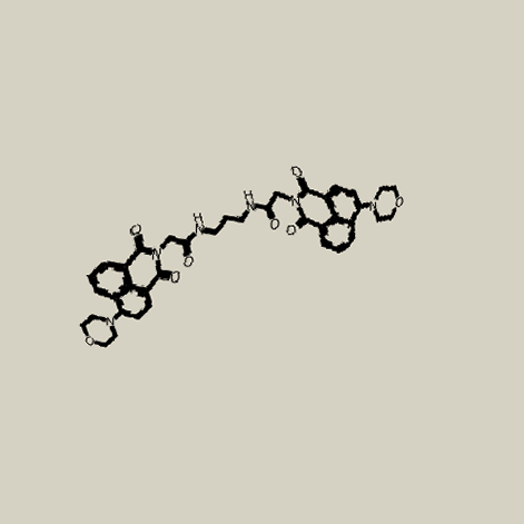 O=C(CN1C(=O)c2cccc3c(N4CCOCC4)ccc(c23)C1=O)NCCCNC(=O)CN1C(=O)c2cccc3c(N4CCOCC4)ccc(c23)C1=O